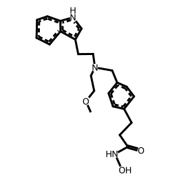 COCCN(CCc1c[nH]c2ccccc12)Cc1ccc(CCC(=O)NO)cc1